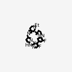 CCN1CCC2(CC1)CN(Cc1ccc(Nc3ncc(F)c(-c4cc(F)c5nc6n(c5c4)C(C)(C)CC6)n3)nc1)C2